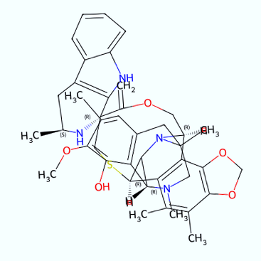 C=C1OC[C@H]2c3c4c(c(C)c(C)c3[C@@H](SC[C@]13N[C@@H](C)Cc1c3[nH]c3ccccc13)C1[C@H]3c5c(cc(C)c(OC)c5O)CC(C)(CN3C)N12)OCO4